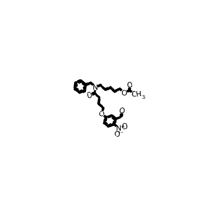 CC(=O)OCCCCCN(Cc1ccccc1)C(=O)CCCOc1ccc([N+](=O)[O-])c(C=O)c1